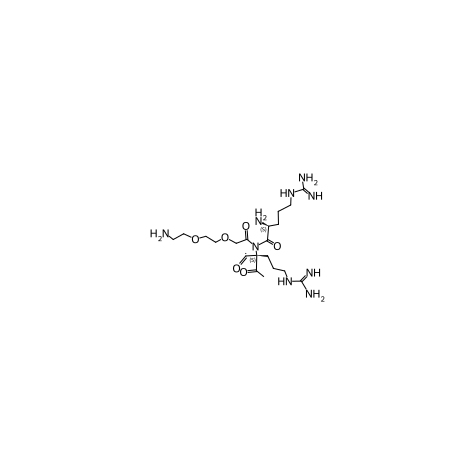 CC(=O)[C@@]([C]=O)(CCCNC(=N)N)N(C(=O)COCCOCCN)C(=O)[C@@H](N)CCCNC(=N)N